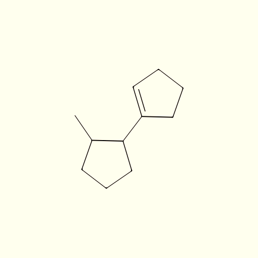 C[C]1CCCC1C1=CCCC1